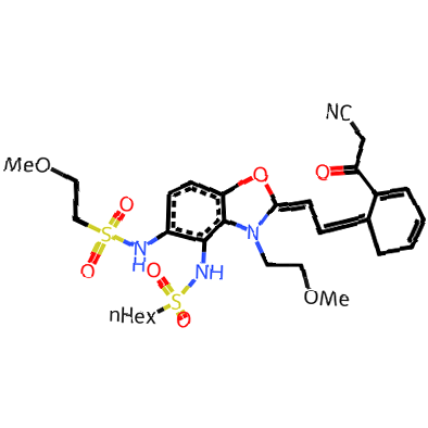 CCCCCCS(=O)(=O)Nc1c(NS(=O)(=O)CCOC)ccc2c1N(CCOC)C(=CC=C1CC=CC=C1C(=O)CC#N)O2